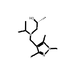 Cc1c(CN(C[C@@H](C)O)C(C)C)c(I)nn1C